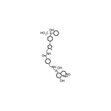 O=C(NCc1cc(-c2ccc([C@](O)(C(=O)O)c3ccccc3)cc2)cs1)c1ccc(CNC[C@H](O)c2ccc(O)c3[nH]c(=O)ccc23)cc1